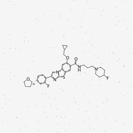 O=C(NCCCN1CCC(F)CC1)c1cc2sc3nc(-c4ccc([C@@H]5CCCO5)cc4F)cn3c2cc1OCC1CC1